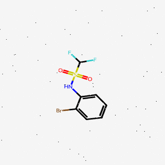 O=S(=O)(Nc1ccccc1Br)C(F)F